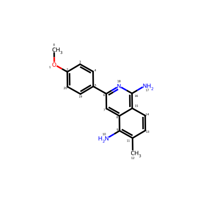 COc1ccc(-c2cc3c(N)c(C)ccc3c(N)n2)cc1